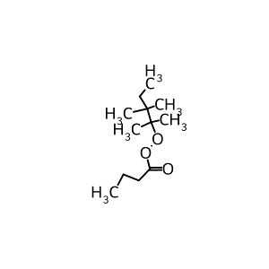 CCCC(=O)OOC(C)(C)C(C)(C)CC